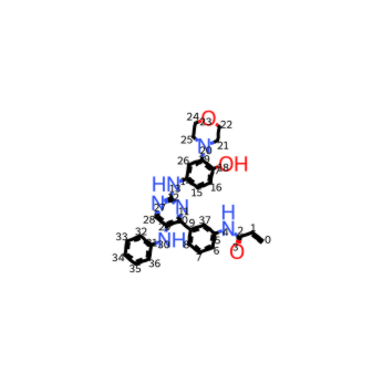 C=CC(=O)Nc1cccc(-c2nc(Nc3ccc(O)c(N4CCOCC4)c3)ncc2Nc2ccccc2)c1